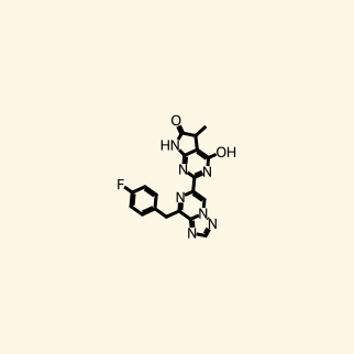 CC1C(=O)Nc2nc(-c3cn4ncnc4c(Cc4ccc(F)cc4)n3)nc(O)c21